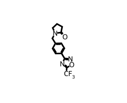 O=C1CCCN1Cc1ccc(-c2noc(C(F)(F)F)n2)cc1